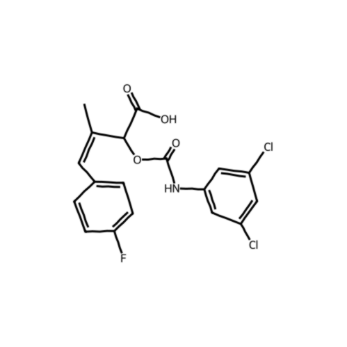 CC(=Cc1ccc(F)cc1)C(OC(=O)Nc1cc(Cl)cc(Cl)c1)C(=O)O